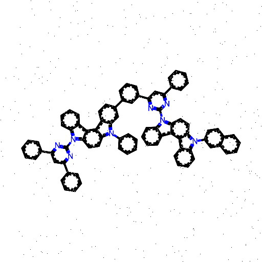 c1ccc(-c2cc(-c3cccc(-c4ccc5c6c7c8ccccc8n(-c8nc(-c9ccccc9)cc(-c9ccccc9)n8)c7ccc6n(-c6ccccc6)c5c4)c3)nc(-n3c4ccccc4c4c5c6ccccc6n(-c6ccc7ccccc7c6)c5ccc43)n2)cc1